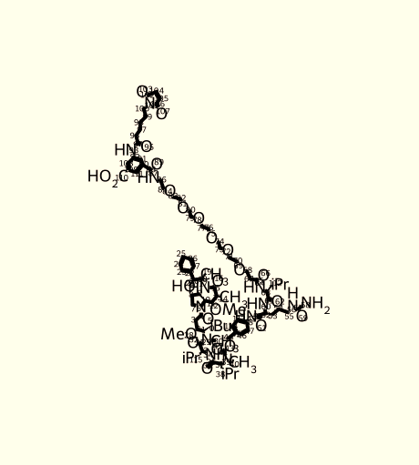 CC[C@H](C)[C@@H]([C@@H](CC(=O)N1CCC[C@H]1[C@H](OC)[C@@H](C)C(=O)N[C@H](C)[C@@H](O)c1ccccc1)OC)N(C)C(=O)[C@@H](NC(=O)[C@H](C(C)C)N(C)C(=O)OCc1ccc(NC(=O)[C@H](CCCNC(N)=O)NC(=O)[C@@H](NC(=O)CCOCCOCCOCCOCCOCCOCCNC(=O)c2cc(NC(=O)CCCCCN3C(=O)C=CC3=O)cc(C(=O)O)c2)C(C)C)cc1)C(C)C